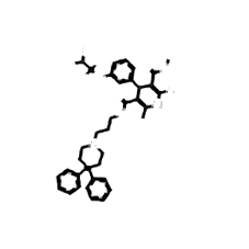 COC(=O)C1=C(N)NC(C)=C(C(=O)OCCCN2CCC(c3ccccc3)(c3ccccc3)CC2)C1c1cccc(OC(F)(F)C(F)F)c1